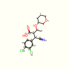 CC(OC1CCCOC1)C(C(=O)O)C(C#N)c1ccc(Cl)c(Cl)c1